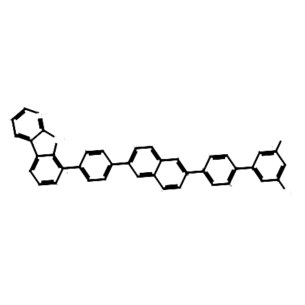 FC(F)(F)c1cc(-c2ccc(-c3ccc4cc(-c5ccc(-c6cccc7c6sc6ncccc67)cc5)ccc4c3)cc2)cc(C(F)(F)F)c1